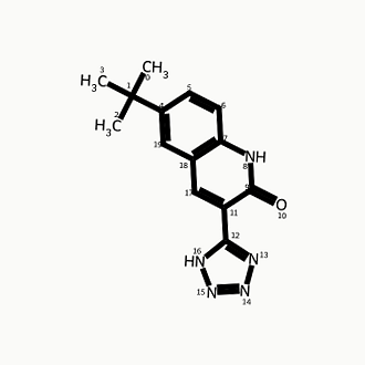 CC(C)(C)c1ccc2[nH]c(=O)c(-c3nnn[nH]3)cc2c1